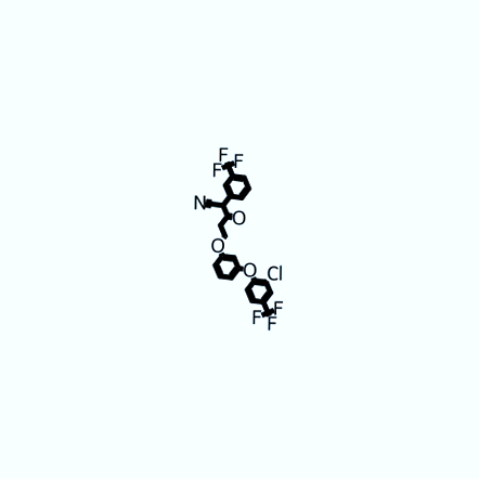 N#CC(C(=O)CCOc1cccc(Oc2ccc(C(F)(F)F)cc2Cl)c1)c1cccc(C(F)(F)F)c1